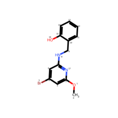 COc1cc(Br)cc(NCc2ccccc2O)n1